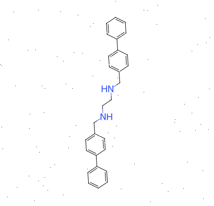 c1ccc(-c2ccc(CNCCNCc3ccc(-c4ccccc4)cc3)cc2)cc1